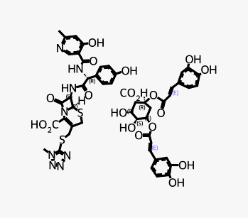 Cc1cc(O)c(C(=O)N[C@@H](C(=O)N[C@@H]2C(=O)N3C(C(=O)O)=C(CSc4nnnn4C)CS[C@H]23)c2ccc(O)cc2)cn1.O=C(/C=C/c1ccc(O)c(O)c1)O[C@@H]1C[C@@](OC(=O)/C=C/c2ccc(O)c(O)c2)(C(=O)O)C[C@@H](O)[C@@H]1O